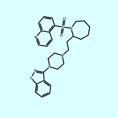 O=S(=O)(c1cccc2ncccc12)N1CCCCCC1CCN1CCN(c2nsc3ccccc23)CC1